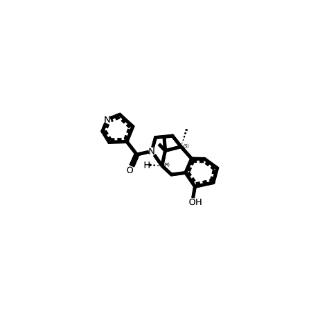 CC1(C)[C@H]2Cc3c(O)cccc3[C@]1(C)CCN2C(=O)c1ccncc1